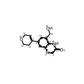 O=c1cnc2cc(C3=CCOCC3)cc(CO)c2[nH]1